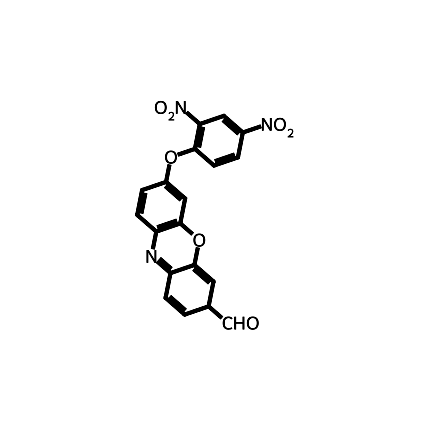 O=CC1C=CC2=Nc3ccc(Oc4ccc([N+](=O)[O-])cc4[N+](=O)[O-])cc3OC2=C1